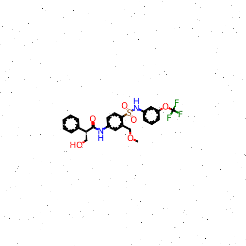 COCc1cc(NC(=O)[C@@H](CO)c2ccccc2)ccc1S(=O)(=O)Nc1cccc(OC(F)(F)F)c1